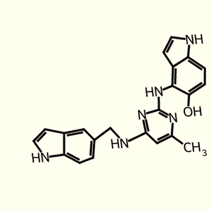 Cc1cc(NCc2ccc3[nH]ccc3c2)nc(Nc2c(O)ccc3[nH]ccc23)n1